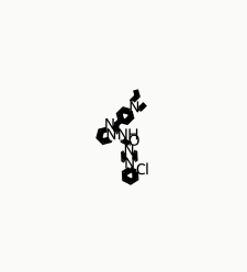 CCCN(CC)c1ccc(-c2nc3ccccn3c2NCC(=O)N2CCN(c3ccccc3Cl)CC2)cc1